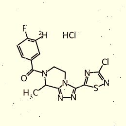 Cl.[2H]c1cc(C(=O)N2CCn3c(-c4nc(Cl)ns4)nnc3C2C)ccc1F